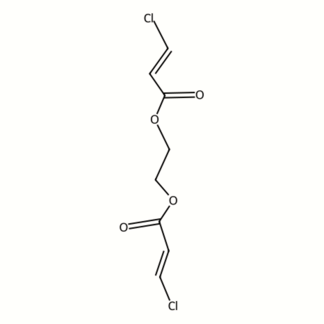 O=C(C=CCl)OCCOC(=O)C=CCl